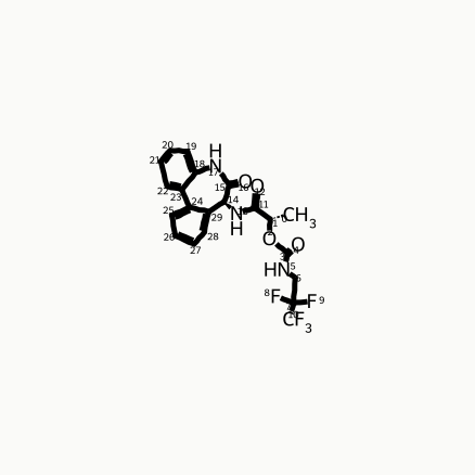 C[C@H](OC(=O)NCC(F)(F)C(F)(F)F)C(=O)N[C@@H]1C(=O)Nc2ccccc2-c2ccccc21